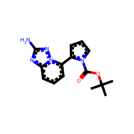 CC(C)(C)OC(=O)n1cccc1-c1cccc2nc(N)nn12